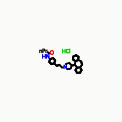 CCCC(=O)Nc1ccc(/C=C/CN2CCC(=C3c4ccccc4C=Cc4ccccc43)CC2)cc1.Cl